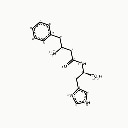 NC(CC(=O)N[C@H](Cc1c[nH]cn1)C(=O)O)Cc1ccccc1